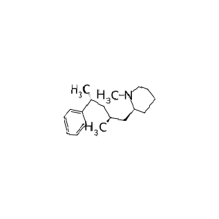 C[C@H](C[C@@H]1CCCCN1C)C[C@@H](C)c1ccccc1